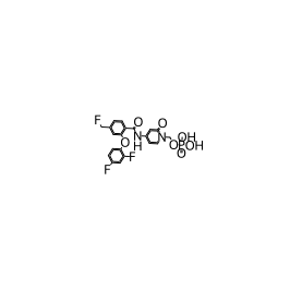 O=C(Nc1ccn(COP(=O)(O)O)c(=O)c1)c1ccc(CF)cc1Oc1ccc(F)cc1F